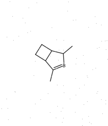 CC1=BC(C)C2CCC12